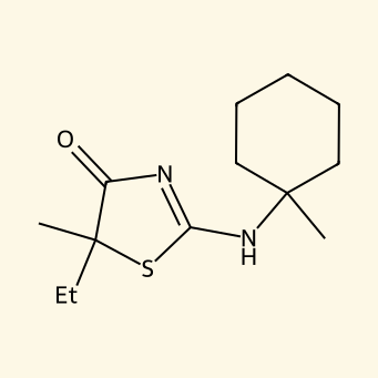 CCC1(C)SC(NC2(C)CCCCC2)=NC1=O